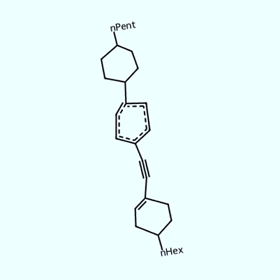 CCCCCCC1CC=C(C#Cc2ccc(C3CCC(CCCCC)CC3)cc2)CC1